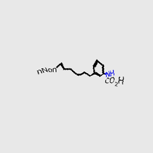 CCCCCCCCCCCCCCCc1cccc(NC(=O)O)c1